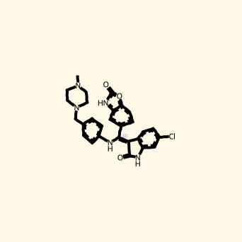 CN1CCN(Cc2ccc(N/C(=C3\C(=O)Nc4cc(Cl)ccc43)c3ccc4oc(=O)[nH]c4c3)cc2)CC1